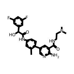 Cc1cc(NC(=O)C(O)c2cc(F)cc(F)c2)ccc1-c1cnc(N)c(C(=O)NCCN(C)C)c1